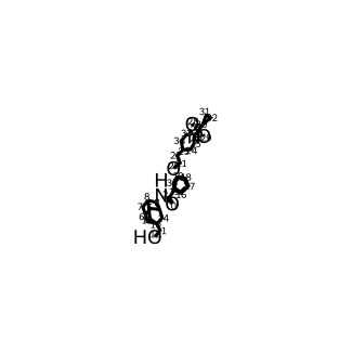 O=C(NC1C2CC3CC1CC(CO)(C3)C2)c1cccc(OCCC2CCN(S(=O)(=O)C3CC3)CC2)c1